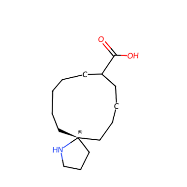 O=C(O)C1CCCCC[C@@]2(CCCC1)CCCN2